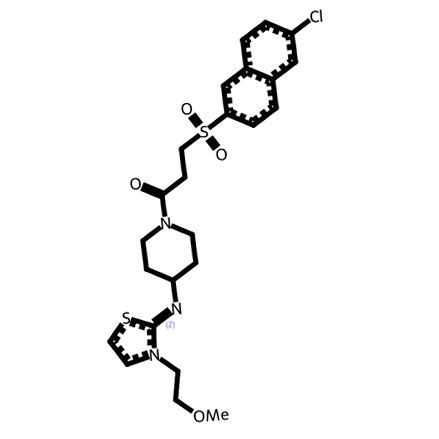 COCCn1ccs/c1=N\C1CCN(C(=O)CCS(=O)(=O)c2ccc3cc(Cl)ccc3c2)CC1